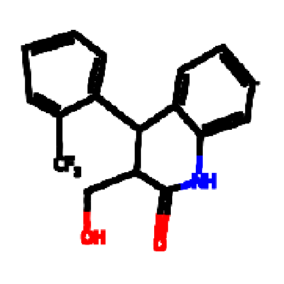 O=C1Nc2c[c]ccc2C(c2ccccc2C(F)(F)F)C1CO